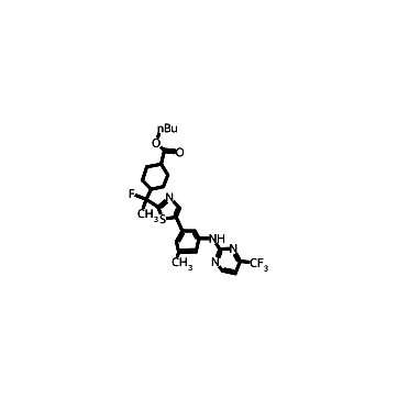 CCCCOC(=O)C1CCC(C(C)(F)c2ncc(-c3cc(C)cc(Nc4nccc(C(F)(F)F)n4)c3)s2)CC1